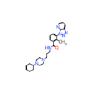 Cc1c(C(=O)NCCCN2CCN(C3CCCCC3)CC2)cccc1-n1nnc2cccnc21